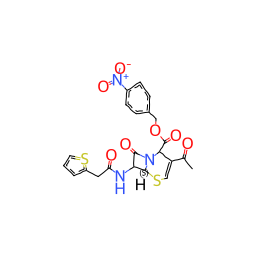 CC(=O)C1=CS[C@H]2C(NC(=O)Cc3cccs3)C(=O)N2C1C(=O)OCc1ccc([N+](=O)[O-])cc1